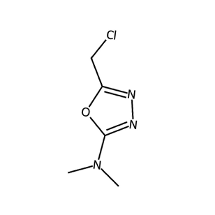 CN(C)c1nnc(CCl)o1